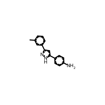 Cc1cccc(-c2cc(-c3ccc(N)cc3)[nH]n2)c1